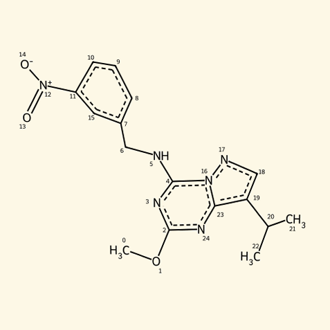 COc1nc(NCc2cccc([N+](=O)[O-])c2)n2ncc(C(C)C)c2n1